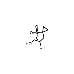 O=S(=O)(Cl)C1(CC(O)CO)CC1